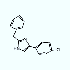 Clc1ccc(-c2c[nH]c(Cc3ccccc3)n2)cc1